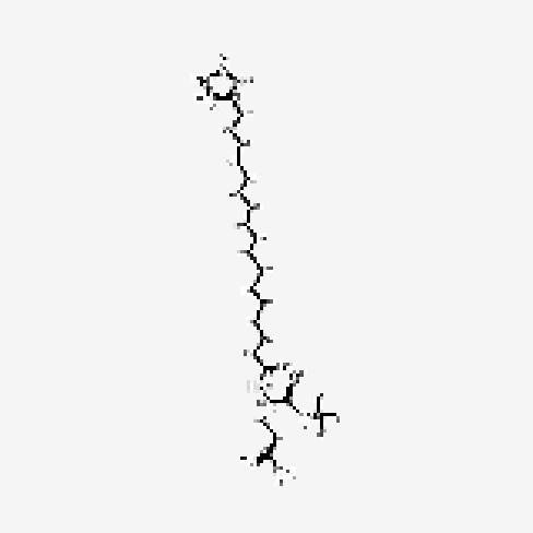 CC(C)(C)OC(=O)[C@H](CCC(=O)O)NC(=O)CCCCCCCCCCCCCCCCc1nnn[nH]1